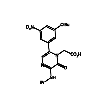 CC(C)COc1cc(-c2cnc(NC(C)C)c(=O)n2CC(=O)O)cc([N+](=O)[O-])c1